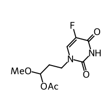 COC(CCn1cc(F)c(=O)[nH]c1=O)OC(C)=O